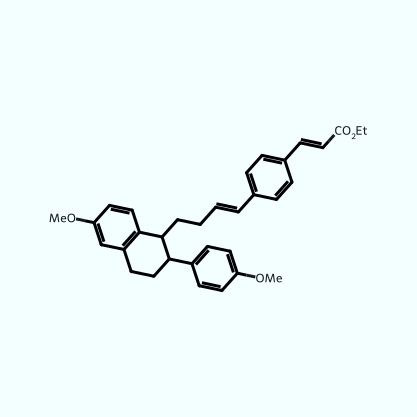 CCOC(=O)C=Cc1ccc(C=CCCC2c3ccc(OC)cc3CCC2c2ccc(OC)cc2)cc1